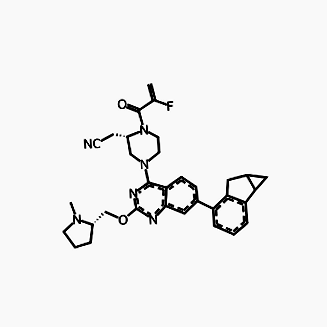 C=C(F)C(=O)N1CCN(c2nc(OC[C@@H]3CCCN3C)nc3cc(-c4cccc5c4CC4CC54)ccc23)C[C@@H]1CC#N